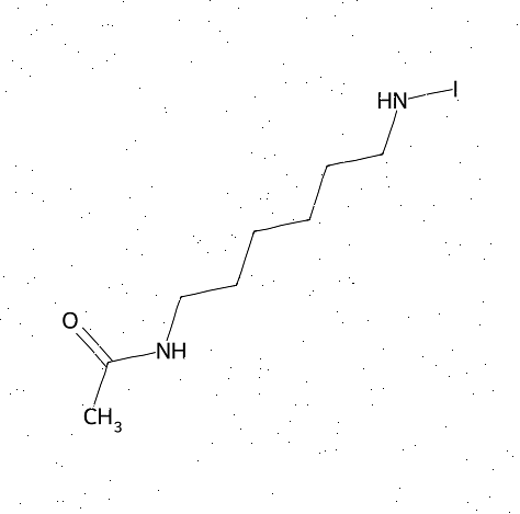 CC(=O)NCCCCCCNI